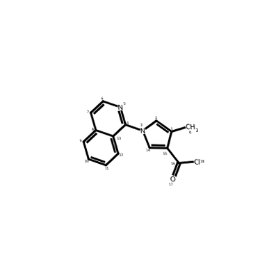 Cc1cn(-c2nccc3ccccc23)cc1C(=O)Cl